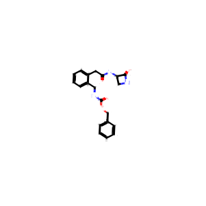 O=C(Cc1ccccc1CNC(=O)OCc1ccccc1)NC1CNC1=O